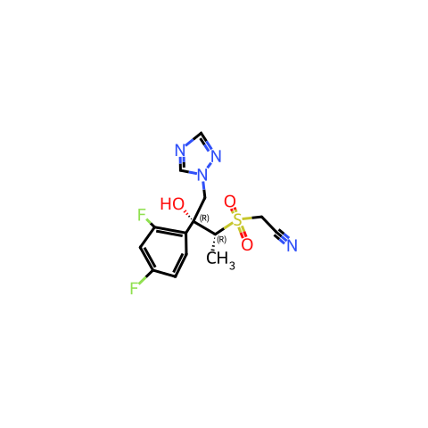 C[C@H]([C@](O)(Cn1cncn1)c1ccc(F)cc1F)S(=O)(=O)CC#N